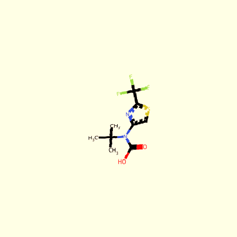 CC(C)(C)N(C(=O)O)c1csc(C(F)(F)F)n1